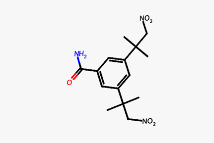 CC(C)(C[N+](=O)[O-])c1cc(C(N)=O)cc(C(C)(C)C[N+](=O)[O-])c1